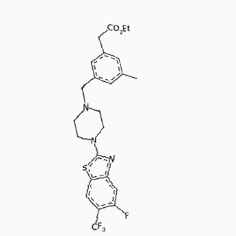 CCOC(=O)Cc1cc(C)cc(CN2CCN(c3nc4cc(F)c(C(F)(F)F)cc4s3)CC2)c1